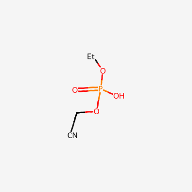 CCOP(=O)(O)OCC#N